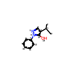 CC(C)c1cnn(-c2ccccc2)c1O